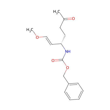 CO/C=C/[C@H](CCC(C)=O)NC(=O)OCc1ccccc1